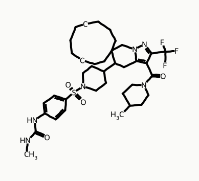 CNC(=O)Nc1ccc(S(=O)(=O)N2CCC(C3Cc4c(C(=O)N5CCC(C)CC5)c(C(F)(F)F)nn4CC34CCCCCCCCCC4)CC2)cc1